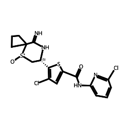 N=C1N[C@H](c2sc(C(=O)Nc3cccc(Cl)n3)cc2Cl)C[S+]([O-])C12CCC2